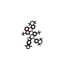 CC(C)(C)c1ccc2c(c1)B1c3oc4cc5c(cc4c3N(c3ccc4c(c3)C(C)(C)CCC4(C)C)c3cc(C(C)(C)C)cc(c31)N2c1ccc2c(c1-c1ccccc1)C(C)(C)CCC2(C)C)C1(C)CCC5(C)C1